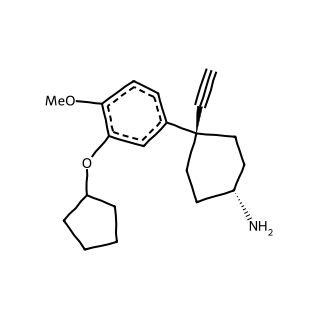 C#C[C@]1(c2ccc(OC)c(OC3CCCC3)c2)CC[C@@H](N)CC1